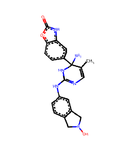 CC1=CN=C(Nc2ccc3c(c2)CN(O)C3)NC1(N)c1ccc2oc(=O)[nH]c2c1